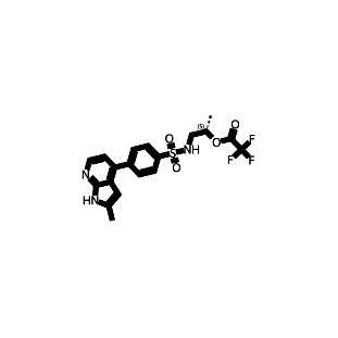 Cc1cc2c(-c3ccc(S(=O)(=O)NC[C@H](C)OC(=O)C(F)(F)F)cc3)ccnc2[nH]1